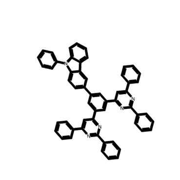 c1ccc(-c2cc(-c3cc(-c4ccc5c(c4)c4ccccc4n5-c4ccccc4)cc(-c4cc(-c5ccccc5)nc(-c5ccccc5)n4)c3)nc(-c3ccccc3)n2)cc1